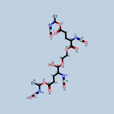 CCC(N=C=O)OC(=O)CCC(N=C=O)C(=O)OCCOC(O)C(CCC(=O)OC(CC)N=C=O)N=C=O